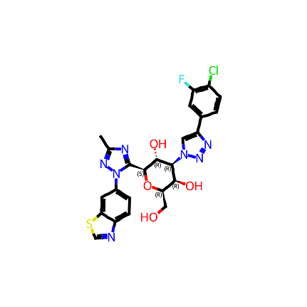 Cc1nc([C@@H]2O[C@H](CO)[C@H](O)[C@H](n3cc(-c4ccc(Cl)c(F)c4)nn3)[C@H]2O)n(-c2ccc3ncsc3c2)n1